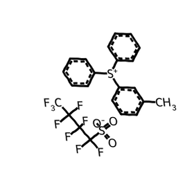 Cc1cccc([S+](c2ccccc2)c2ccccc2)c1.O=S(=O)([O-])C(F)(F)C(F)(F)C(F)(F)C(F)(F)F